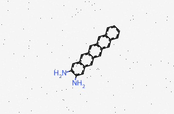 Nc1cc2cc3cc4cc5ccccc5cc4cc3cc2cc1N